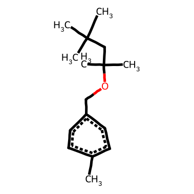 Cc1ccc(COC(C)(C)CC(C)(C)C)cc1